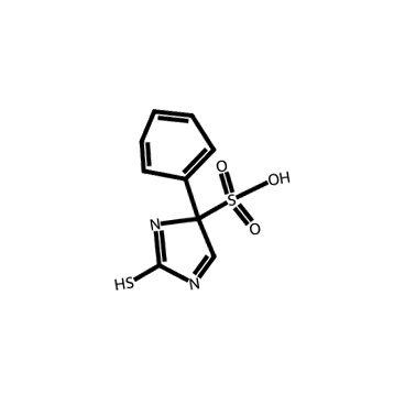 O=S(=O)(O)C1(c2ccccc2)C=NC(S)=N1